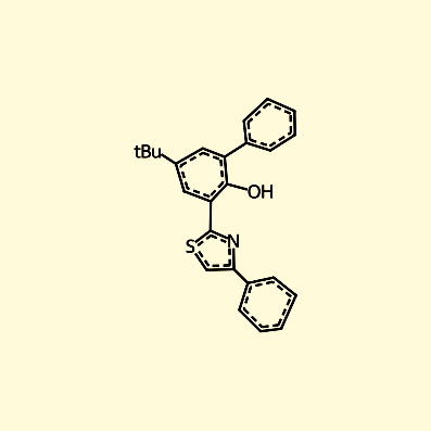 CC(C)(C)c1cc(-c2ccccc2)c(O)c(-c2nc(-c3ccccc3)cs2)c1